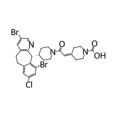 O=C(O)N1CCC(=CC(=O)N2CCC([C@H]3c4ncc(Br)cc4CCc4cc(Cl)cc(Br)c43)CC2)CC1